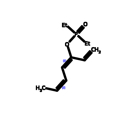 C=C/C(=C\C=C/C)OP(=O)(CC)CC